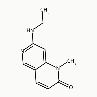 CCNc1cc2c(ccc(=O)n2C)cn1